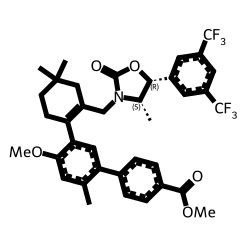 COC(=O)c1ccc(-c2cc(C3=C(CN4C(=O)O[C@H](c5cc(C(F)(F)F)cc(C(F)(F)F)c5)[C@@H]4C)CC(C)(C)CC3)c(OC)cc2C)cc1